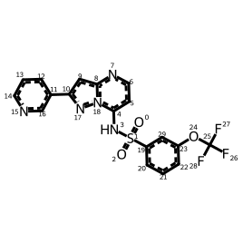 O=S(=O)(Nc1ccnc2cc(-c3cccnc3)nn12)c1cccc(OC(F)(F)F)c1